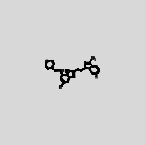 FC(F)(F)C1=NN(CCc2cc3cc(Cl)cc(NCC4CCOCC4)c3[nH]2)C2CNCCN12